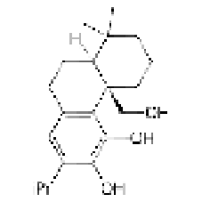 CC(C)c1cc2c(c(O)c1O)[C@@]1(CO)CCCC(C)(C)[C@@H]1CC2